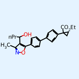 CCCC(O)c1c(C)noc1-c1ccc(-c2ccc(C3(C(=O)OCC)CC3)cc2)cc1